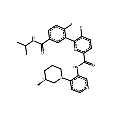 CC(C)NC(=O)c1ccc(F)c(-c2nc(C(=O)Nc3cnccc3N3CCC[C@H](C)C3)ccc2F)c1